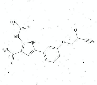 N#CC(Cl)COc1cccc(-c2cc(C(N)=O)c(NC(N)=O)[nH]2)c1